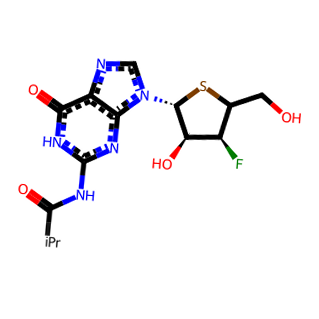 CC(C)C(=O)Nc1nc2c(ncn2[C@@H]2SC(CO)[C@@H](F)[C@H]2O)c(=O)[nH]1